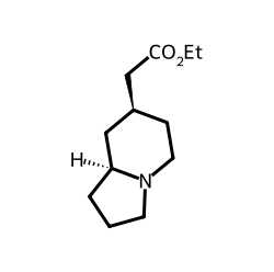 CCOC(=O)C[C@H]1CCN2CCC[C@H]2C1